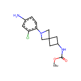 CC(C)(C)OC(=O)NC1CC2(C1)CN(c1ccc(N)cc1Cl)C2